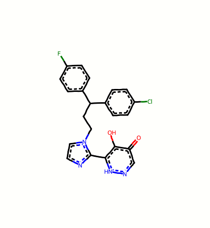 O=c1cn[nH]c(-c2nccn2CCC(c2ccc(F)cc2)c2ccc(Cl)cc2)c1O